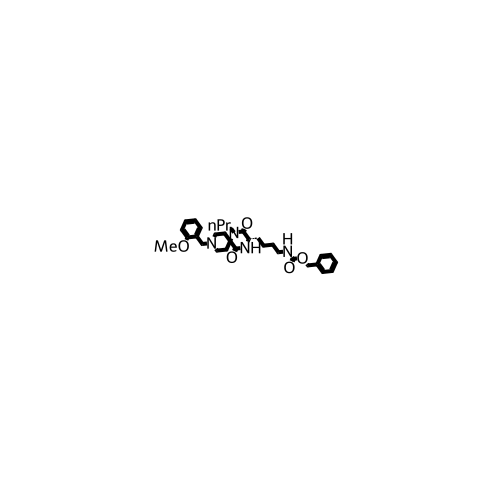 CCCN1C(=O)[C@H](CCCCNC(=O)OCc2ccccc2)NC(=O)C12CCN(Cc1ccccc1OC)CC2